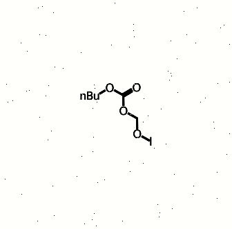 CCCCOC(=O)OCOI